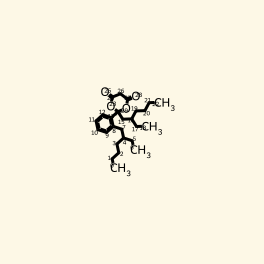 CCCCC(CC)Cc1ccccc1C1(CC(CC)CCCC)OC(=O)CC(=O)O1